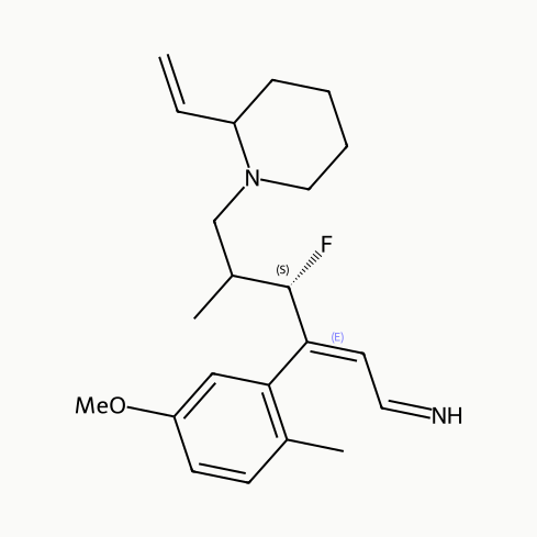 C=CC1CCCCN1CC(C)[C@H](F)/C(=C/C=N)c1cc(OC)ccc1C